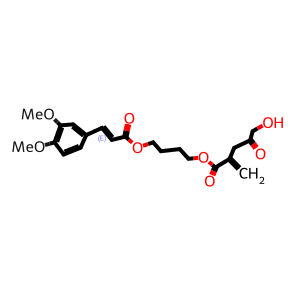 C=C(CC(=O)CO)C(=O)OCCCCOC(=O)/C=C/c1ccc(OC)c(OC)c1